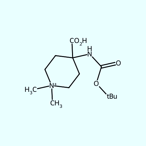 CC(C)(C)OC(=O)NC1(C(=O)O)CC[N+](C)(C)CC1